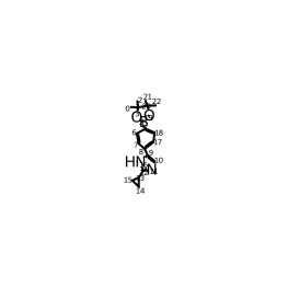 CC1(C)OB(c2ccc(-c3cnc(C4CC4)[nH]3)cc2)OC1(C)C